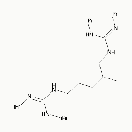 CC(CCCNC(=NC(C)C)NC(C)C)CNC(=NC(C)C)NC(C)C